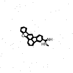 CNC(=N)c1ccc2c(c1)-c1cccc3c1c-2cc1c2ccccc2oc31